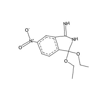 CCOC1(OCC)NC(=N)c2cc([N+](=O)[O-])ccc21